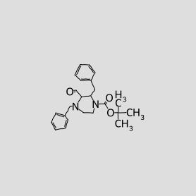 CC(C)(C)OC(=O)N1CCN(Cc2ccccc2)C(C=O)C1Cc1ccccc1